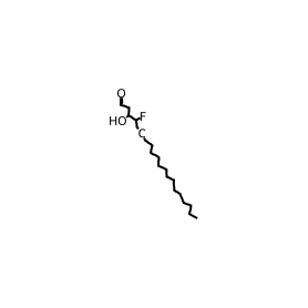 CCCCCCCCCCCCCCCCC(F)C(O)CC=O